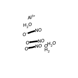 O.O.O.O=N[O-].O=N[O-].O=N[O-].[Al+3]